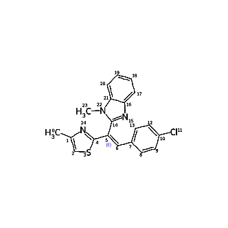 Cc1csc(/C(=C/c2ccc(Cl)cc2)c2nc3ccccc3n2C)n1